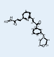 O=C(/C=C/c1cccc(/C=C/C(=O)c2cccc(CN3CCOCC3)c2)n1)NO